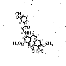 COc1cccc(C(=O)/C=C\Nc2cc(OC)c(Cl)cc2/C=C\c2cc(OC)c(OC)c(OC)c2)c1